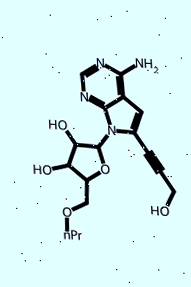 CCCOCC1OC(n2c(C#CCO)cc3c(N)ncnc32)C(O)C1O